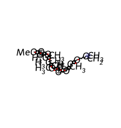 C=C/C(=C\C)OCCCCCOc1ccc(C(C)(C)c2ccc(Oc3ccc(S(=O)(=O)c4ccc(Oc5c(C)cc(C(C)(C)c6cc(C)c(Oc7ccc(S(=O)(=O)c8ccc(OC)cc8)cc7)c(C)c6)cc5C)cc4)cc3)cc2)cc1